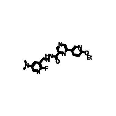 CCOc1ccc(-c2cncc(C(=O)N/N=C/c3cc(N(C)C)cnc3F)n2)cn1